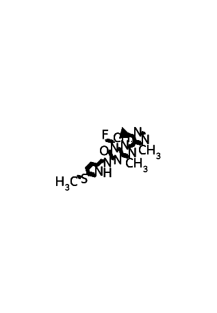 CCSc1ccc(CNc2nc3c(C)nc(-c4c(C)ncnc4C4CC4)nc3n(C(C)CF)c2=O)nc1